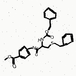 COC(=O)c1ccc(NC(=O)C(CSCc2ccccc2)NC(=O)OCc2ccccc2)cc1